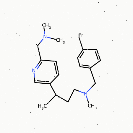 CC(C)c1ccc(CN(C)CCC(C)c2ccc(CN(C)C)nc2)cc1